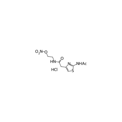 CC(=O)Nc1nc(CC(=O)NCCO[N+](=O)[O-])cs1.Cl